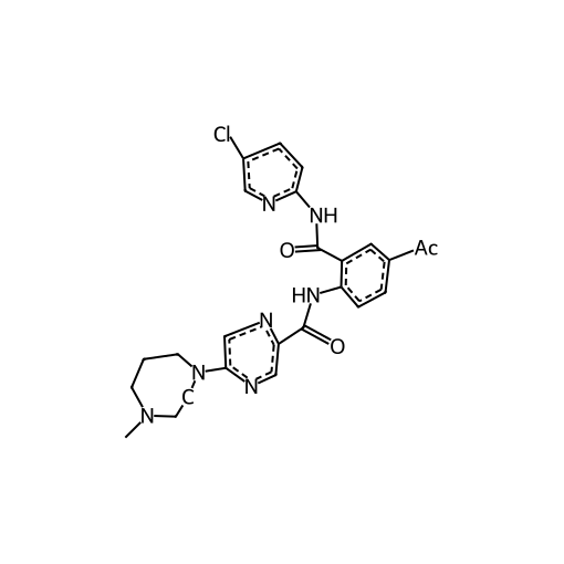 CC(=O)c1ccc(NC(=O)c2cnc(N3CCCN(C)CC3)cn2)c(C(=O)Nc2ccc(Cl)cn2)c1